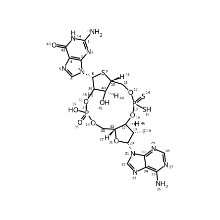 Nc1nc2c(ncn2[C@@H]2S[C@@H]3COP(=S)(S)O[C@H]4[C@H](F)[C@H](n5cnc6c(N)ncnc65)O[C@@H]4COP(=O)(O)O[C@@H]2[C@@H]3O)c(=O)[nH]1